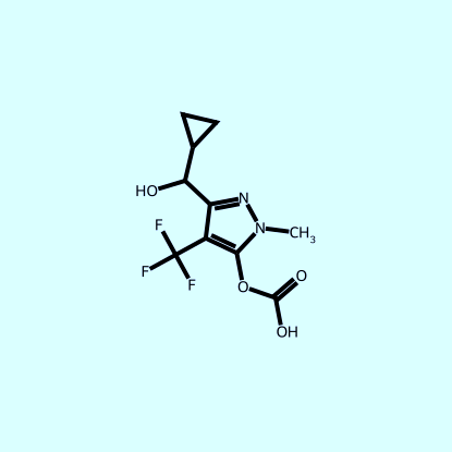 Cn1nc(C(O)C2CC2)c(C(F)(F)F)c1OC(=O)O